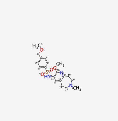 COCc1ccc(S(=O)(=O)Nc2cc3c(nc2OC)CCN(C)CC3)cc1